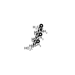 CC(C1CCCCC1)N(CC(=O)NCC(=O)N(CC(=O)NCC(=O)N(CC(=O)NCC(=O)O)C(C)C1CCCCC1)C(C)C1CCCCC1)C(=O)CN